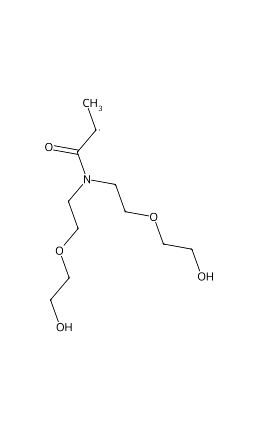 C[CH]C(=O)N(CCOCCO)CCOCCO